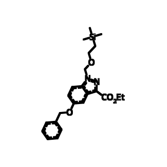 CCOC(=O)c1nn(COCC[Si](C)(C)C)c2ccc(OCc3ccccc3)cc12